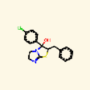 OC1(c2ccc(Cl)cc2)C(Cc2ccccc2)SC2=NCCN21